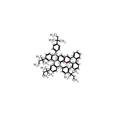 CCC(C)(C)c1ccc(N2c3ccc(C(C)(C)CC)cc3B3c4cc(C(C)(C)CC)ccc4N(c4ccc(C(C)(C)CC)c(-c5cccc6c7ccccc7c7ccccc7c56)c4)c4cccc2c43)cc1